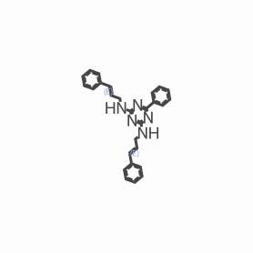 C(=C\c1ccccc1)/CNc1nc(NC/C=C/c2ccccc2)nc(-c2ccccc2)n1